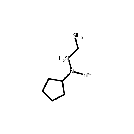 CCCN([SiH2]C[SiH3])C1CCCC1